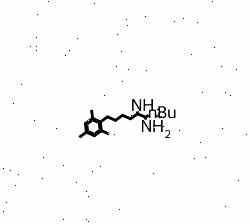 CCCCC(N)C(N)CCCCc1c(C)cc(C)cc1C